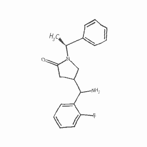 C[C@@H](c1ccccc1)N1CC(C(N)c2ccccc2F)CC1=O